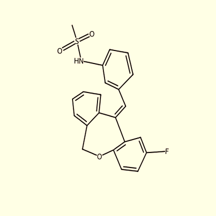 CS(=O)(=O)Nc1cccc(/C=C2\c3ccccc3COc3ccc(F)cc32)c1